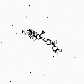 CS(=O)(=O)NC(=O)c1cc(C2CC2)c(OCC2CCN(C(=O)c3ccc(Cl)c(Cl)c3)CC2)cc1F